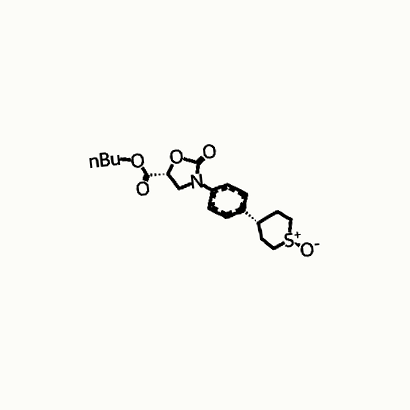 CCCCOC(=O)[C@H]1CN(c2ccc([C@H]3CC[S@+]([O-])CC3)cc2)C(=O)O1